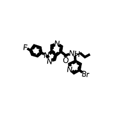 CCC[C@H](NC(=O)c1cncc2c1cnn2-c1ccc(F)cc1)c1cncc(Br)c1